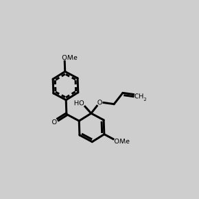 C=CCOC1(O)C=C(OC)C=CC1C(=O)c1ccc(OC)cc1